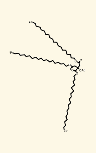 CC(=O)OC(CC(=O)OCCCCCCCCCCCCCCCCCCCC(C)C)(CC(=O)OCCCCCCCCCCCCCCCCCCCC(C)C)C(=O)OCCCCCCCCCCCCCCCCCCCC(C)C